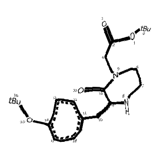 CC(C)(C)OC(=O)CN1CCNC(Cc2ccc(OC(C)(C)C)cc2)C1=O